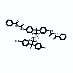 Nc1ccc(C(F)(c2ccc(N)cc2)C(F)(F)C(F)(F)F)cc1.O=C(NC(=S)Nc1ccc(C(F)(c2ccc(NC(=S)NC(=O)c3ccccc3)cc2)C(F)(F)C(F)(F)F)cc1)c1ccccc1